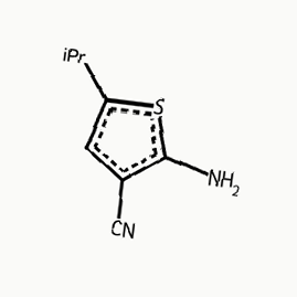 CC(C)c1cc(C#N)c(N)s1